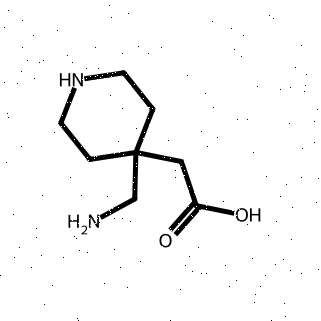 NCC1(CC(=O)O)CCNCC1